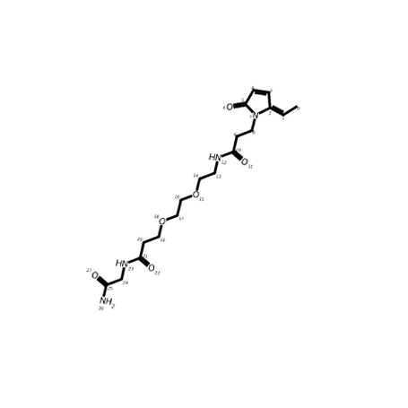 C/C=C1\C=CC(=O)N1CCC(=O)NCCOCCOCCC(=O)NCC(N)=O